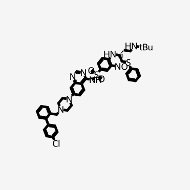 CC(C)(C)NCC[C@H](CSc1ccccc1)Nc1ccc(S(=O)(=O)Nc2ncnc3cc(N4CCN(Cc5ccccc5-c5ccc(Cl)cc5)CC4)ccc23)cc1[N+](=O)[O-]